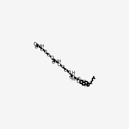 COCC(=O)NCCOCCOCCOCCOCCC(=O)NCCOCCOCCOCCOCCC(=O)NCCNC(=O)O[C@H]1CC[C@@]2(C)C(=CC[C@H]3[C@@H]4CC[C@H]([C@H](C)CCCC(C)C)[C@@]4(C)CC[C@@H]32)C1